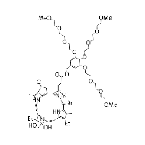 CCc1c(C)c2[nH]c1cc1nc(cc3[nH]c4c(c5nc(c2Br)[C@@H](C)[C@@H]5CCC(=O)OCc2cc(OCCOCCOCCOC)c(OCCOCCOCCOC)c(OCCOCCOCCOC)c2)CC(=O)c4c3C)C(O)(CC)C1(C)O